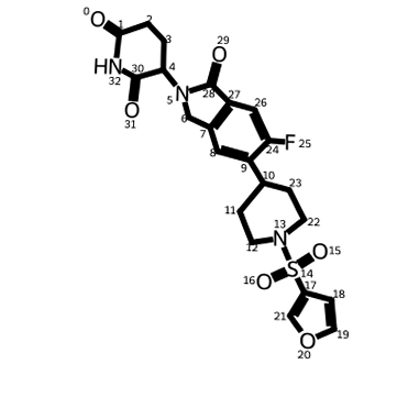 O=C1CCC(N2Cc3cc(C4CCN(S(=O)(=O)c5ccoc5)CC4)c(F)cc3C2=O)C(=O)N1